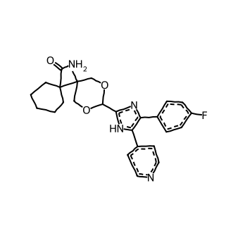 CC1(C2(C(N)=O)CCCCC2)COC(c2nc(-c3ccc(F)cc3)c(-c3ccncc3)[nH]2)OC1